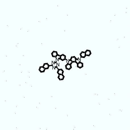 c1ccc2cc(-c3nc(-c4ccc5ccccc5c4)nc(-n4c5ccccc5c5ccc(-n6c7ccccc7c7c8c9ccccc9n(-c9ccc%10ccccc%10c9)c8ccc76)cc54)n3)ccc2c1